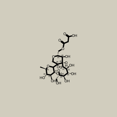 C[C@H]1OC([C@]2(O)[CH]O[C@H](COC(=O)CC(=O)O)[C@@H](O)[C@@]2(O)[C@H]2O[C@@H](CO)[C@H](O)[C@@H](O)[C@@H]2O)[C@H](O)[C@@H](O)[C@@H]1O